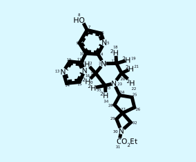 [2H]C1([2H])N(c2ncc(O)cc2-c2cnccn2)C([2H])([2H])C([2H])([2H])N(C2CCC3(C2)CN(C(=O)OCC)C3)C1([2H])[2H]